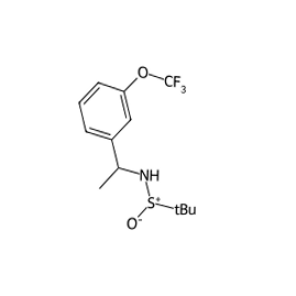 CC(N[S+]([O-])C(C)(C)C)c1cccc(OC(F)(F)F)c1